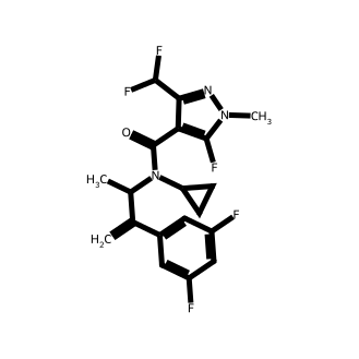 C=C(c1cc(F)cc(F)c1)C(C)N(C(=O)c1c(C(F)F)nn(C)c1F)C1CC1